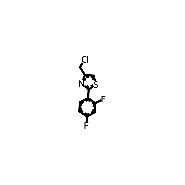 Fc1ccc(-c2nc(CCl)cs2)c(F)c1